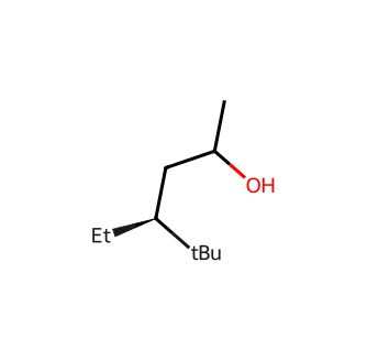 CC[C@@H](CC(C)O)C(C)(C)C